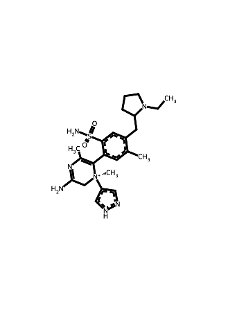 CCN1CCCC1Cc1cc(S(N)(=O)=O)c(C2=C(C)N=C(N)C[N@+]2(C)c2cn[nH]c2)cc1C